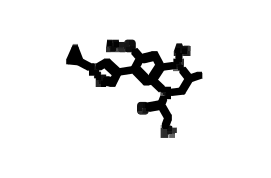 COc1cc2c(cc1-c1cnn(C3CC3)c1)N(C(=O)CC(C)C)CC(C)N2C(C)=O